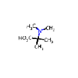 CN(C)C(C)(C)C(=O)O